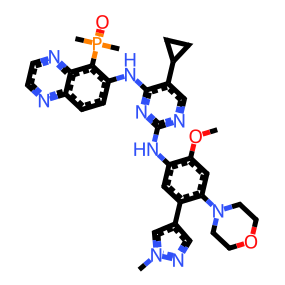 COc1cc(N2CCOCC2)c(-c2cnn(C)c2)cc1Nc1ncc(C2CC2)c(Nc2ccc3nccnc3c2P(C)(C)=O)n1